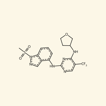 CS(=O)(=O)n1ncc2c(Nc3ncc(C(F)(F)F)c(NC4CCOC4)n3)cccc21